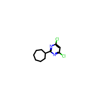 Clc1cc(Cl)nc(C2CCCCCC2)n1